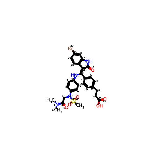 CN(C)C(=O)CN(c1ccc(NC(=C2C(=O)Nc3cc(Br)ccc32)c2ccc(CCC(=O)O)cc2)cc1)S(C)(=O)=O